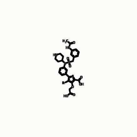 CC(=O)Nc1cccc(CS(=O)(=O)N(c2cccc(-c3sc(C(=O)O)c(OCC(=O)O)c3Br)c2)C2CCNCC2)c1